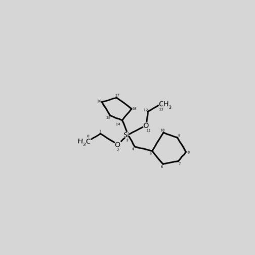 CCO[Si](CC1CCCCC1)(OCC)C1CCCC1